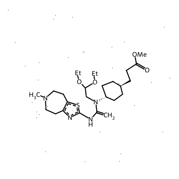 C=C(Nc1nc2c(s1)CCN(C)CC2)N(CC(OCC)OCC)[C@H]1CC[C@H](CCC(=O)OC)CC1